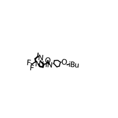 CCC(C)CO[C@H]1CC[C@H](NC(=O)c2ccn3c(C(F)F)cc(C)nc23)CC1